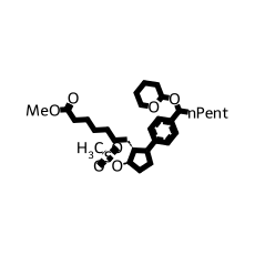 CCCCCC(OC1CCCCO1)c1ccc(C2CC[C@H](OS(C)(=O)=O)[C@@H]2CCCCCCC(=O)OC)cc1